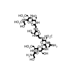 NC(=O)C[C@H](NC(=O)[C@H](CO)NC(=O)[C@H](CC(=O)O)NC(=O)[C@@H](N)CO)C(=O)N[C@@H](CC(=O)O)C(=O)NCC(=O)N[C@@H](CO)C(=O)NCC(=O)N[C@@H](CO)C(=O)N[C@@H](CC(=O)O)C(=O)N[C@@H](CO)C(=O)O